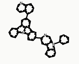 c1ccc(-n2c3ccccc3c3cc(-c4ccc5c(c4)c4cc(-c6cccc7ncccc67)cc6c7ccccc7n5c64)ncc32)cc1